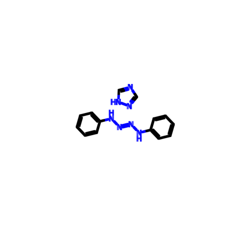 c1ccc(NN=NNc2ccccc2)cc1.c1nc[nH]n1